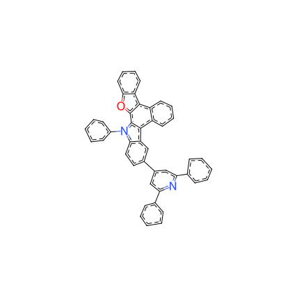 c1ccc(-c2cc(-c3ccc4c(c3)c3c5ccccc5c5c6ccccc6oc5c3n4-c3ccccc3)cc(-c3ccccc3)n2)cc1